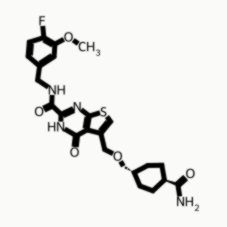 COc1cc(CNC(=O)c2nc3scc(COC[C@H]4CC[C@H](C(N)=O)CC4)c3c(=O)[nH]2)ccc1F